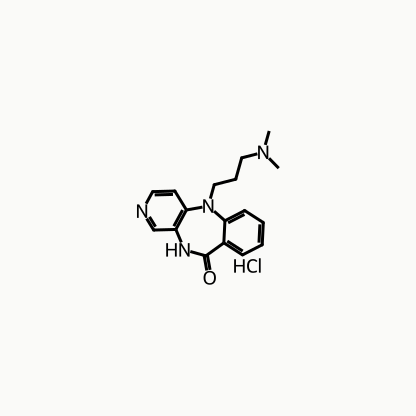 CN(C)CCCN1c2ccncc2NC(=O)c2ccccc21.Cl